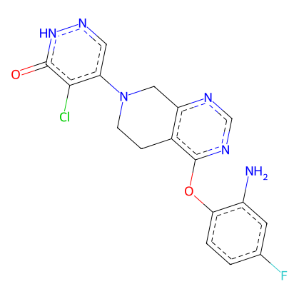 Nc1cc(F)ccc1Oc1ncnc2c1CCN(c1cn[nH]c(=O)c1Cl)C2